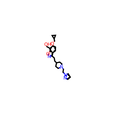 OCc1c(OCC2CC2)ccc2c(CCC3CCN(CCn4cccn4)CC3)noc12